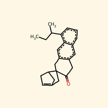 CCC(C)c1cccc2cc3c(cc12)CC1(CC2=CCC1C2)C(=O)C3